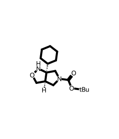 CC(C)(C)OC(=O)N1C[C@H]2CON[C@@]2(C2CCCCC2)C1